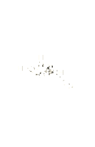 COc1ccc2[nH]c(C)c(C(C(=O)OC(=O)c3ccc(Cl)cc3)C(C)CS(=O)(=O)CC(=O)NCCCOc3cccc(CN4CCCCC4)c3)c2c1